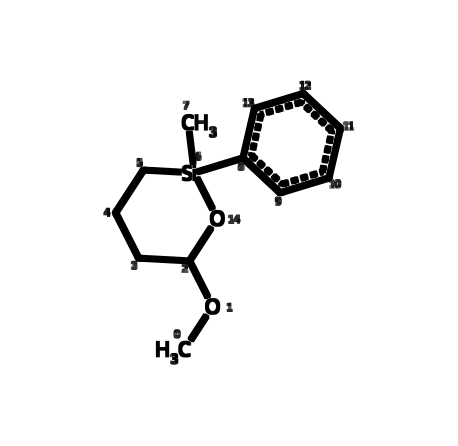 COC1CCC[Si](C)(c2ccccc2)O1